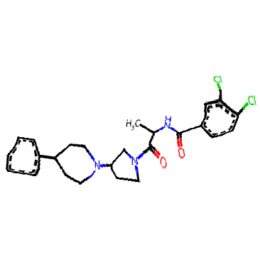 CC(NC(=O)c1ccc(Cl)c(Cl)c1)C(=O)N1CCC(N2CCC(c3ccccc3)CC2)C1